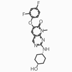 Cn1c(=O)c(Oc2ccc(F)cc2F)cc2cnc(N[C@H]3CC[C@H](O)CC3)nc21